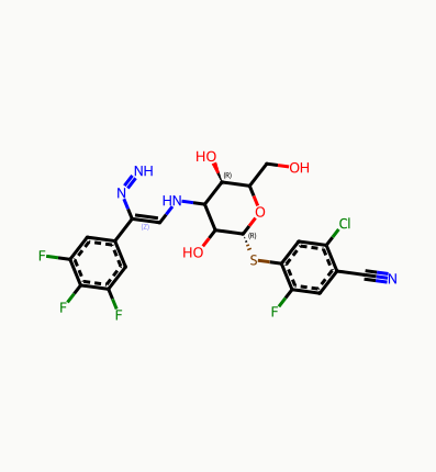 N#Cc1cc(F)c(S[C@H]2OC(CO)[C@H](O)C(N/C=C(\N=N)c3cc(F)c(F)c(F)c3)C2O)cc1Cl